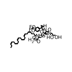 CC/C=C\C/C=C\C/C=C\C/C=C\C/C=C\C/C=C\CCC(=O)NC(CSSC(C)(C)C(NC(=O)C1(c2ccc3c(c2)OC(F)(F)O3)CC1)C(=O)NCC(O)CO)C(N)=O